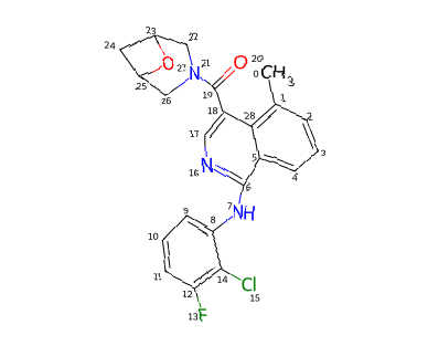 Cc1cccc2c(Nc3cccc(F)c3Cl)ncc(C(=O)N3CC4CC(C3)O4)c12